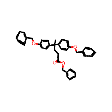 CC(CCC(=O)OCc1ccccc1)(c1ccc(OCc2ccccc2)cc1)c1ccc(OCc2ccccc2)cc1